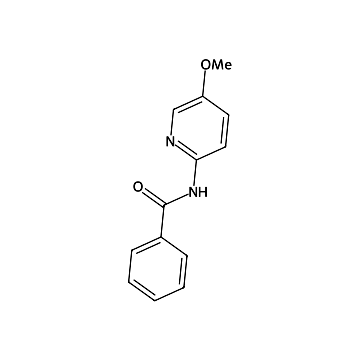 COc1ccc(NC(=O)c2ccccc2)nc1